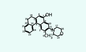 Cc1cc2c3c(cc(O)c2cc1N1CCOCC1)CCc1ccccc1-3